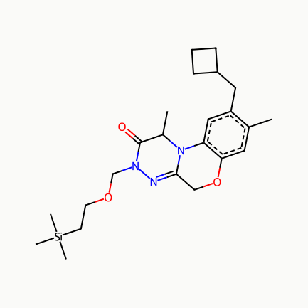 Cc1cc2c(cc1CC1CCC1)N1C(=NN(COCC[Si](C)(C)C)C(=O)C1C)CO2